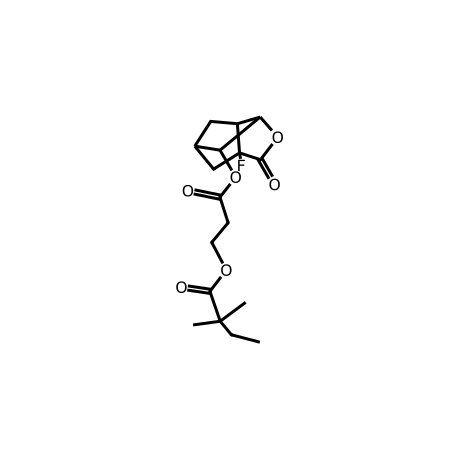 CCC(C)(C)C(=O)OCCC(=O)OC1C2CC3C1OC(=O)C3(F)C2